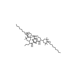 CCCCCCCCON1C(C)(C)CC(C(CCC)Nc2nc(NCCO)nc(NC(CCC)C3CC(C)(C)N(OCCCCCCCC)C(C)(C)C3)n2)CC1(C)C